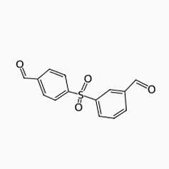 O=Cc1ccc(S(=O)(=O)c2cccc(C=O)c2)cc1